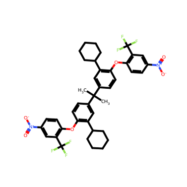 CC(C)(c1ccc(Oc2ccc([N+](=O)[O-])cc2C(F)(F)F)c(C2CCCCC2)c1)c1ccc(Oc2ccc([N+](=O)[O-])cc2C(F)(F)F)c(C2CCCCC2)c1